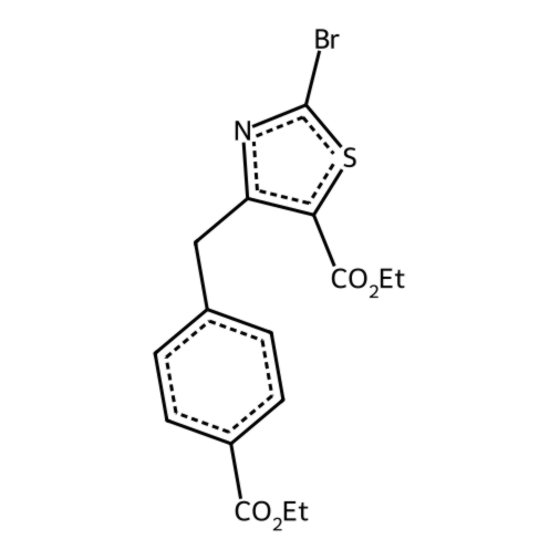 CCOC(=O)c1ccc(Cc2nc(Br)sc2C(=O)OCC)cc1